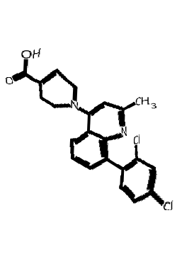 Cc1cc(N2CC=C(C(=O)O)CC2)c2cccc(-c3ccc(Cl)cc3Cl)c2n1